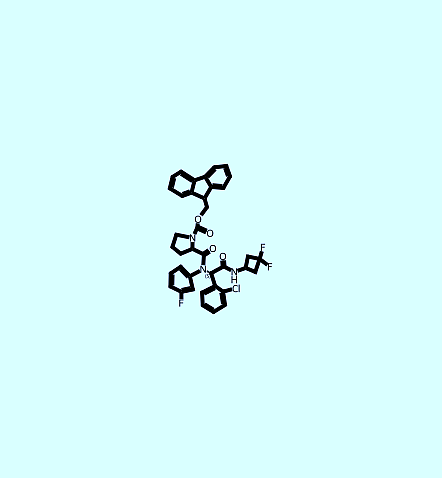 O=C(NC1CC(F)(F)C1)[C@H](c1ccccc1Cl)N(C(=O)C1CCCN1C(=O)OCC1c2ccccc2-c2ccccc21)c1cccc(F)c1